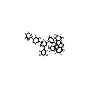 c1ccc(-c2ccc(-c3nc(-c4ccccc4)cc(-c4cccc5c4-c4ccccc4[C@]54c5ccccc5-c5sc6ccccc6c54)n3)cc2)cc1